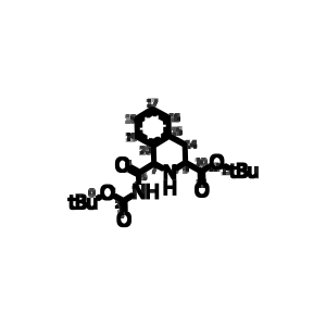 CC(C)(C)OC(=O)NC(=O)C1NC(C(=O)OC(C)(C)C)Cc2ccccc21